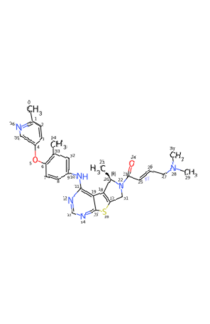 Cc1ccc(Oc2ccc(Nc3ncnc4sc5c(c34)[C@@H](C)N(C(=O)/C=C/CN(C)C)C5)cc2C)cn1